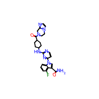 NC(=O)c1cn(-c2ccnc(NC3CCC(C(=O)N4CCn5ccnc5C4)CC3)n2)c2cccc(F)c12